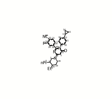 CCCC1CN(c2cc(=O)n(-c3ccc(C4CC4)cc3)c(-c3ccc(C#N)c(F)c3)n2)CCC1CC